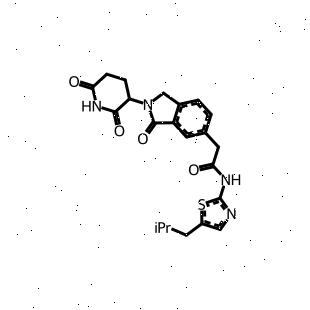 CC(C)Cc1cnc(NC(=O)Cc2ccc3c(c2)C(=O)N(C2CCC(=O)NC2=O)C3)s1